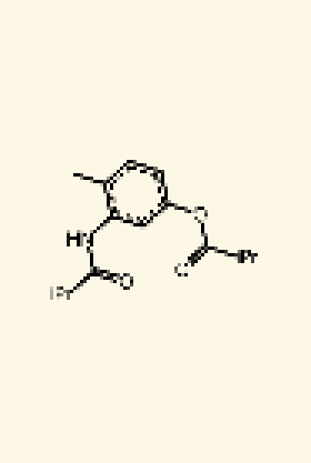 Cc1ccc(OC(=O)C(C)C)cc1NC(=O)C(C)C